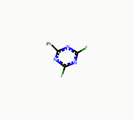 CC(C)c1nc(F)nc(F)n1